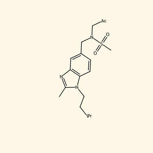 CC(=O)CN(Cc1ccc2c(c1)nc(C)n2CCC(C)C)S(C)(=O)=O